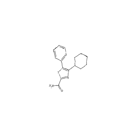 NC(=O)c1nc(C2CCCCC2)c(-c2ccccc2)s1